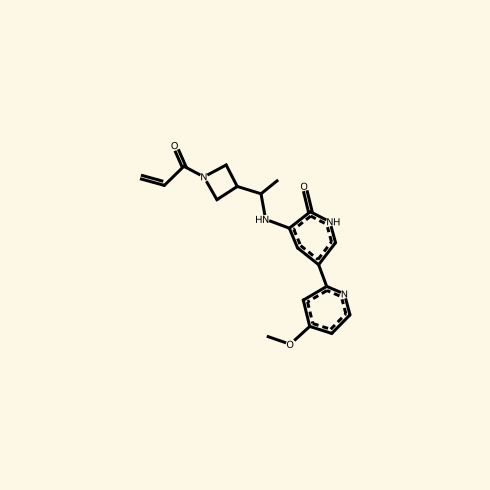 C=CC(=O)N1CC(C(C)Nc2cc(-c3cc(OC)ccn3)c[nH]c2=O)C1